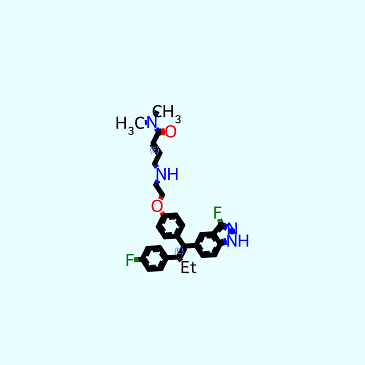 CC/C(=C(/c1ccc(OCCNC/C=C/C(=O)N(C)C)cc1)c1ccc2[nH]nc(F)c2c1)c1ccc(F)cc1